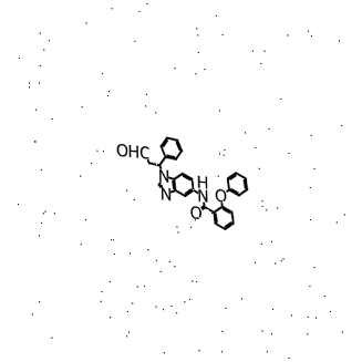 O=CCC(c1ccccc1)n1cnc2cc(NC(=O)c3ccccc3Oc3ccccc3)ccc21